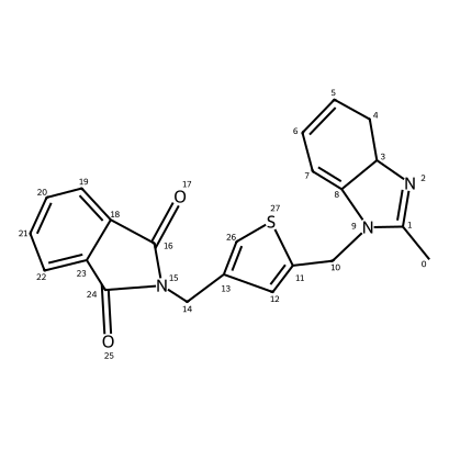 CC1=NC2CC=CC=C2N1Cc1cc(CN2C(=O)c3ccccc3C2=O)cs1